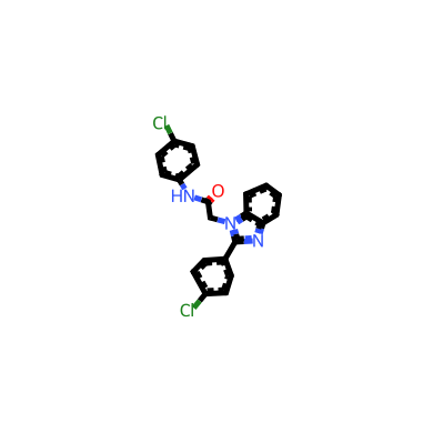 O=C(Cn1c(-c2ccc(Cl)cc2)nc2ccccc21)Nc1ccc(Cl)cc1